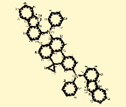 c1ccc(N(c2ccc3c(c2)C2(CC2)c2cccc4c(N(c5ccccc5)c5cccc6c5oc5ccccc56)ccc-3c24)c2cccc3c2oc2ccccc23)cc1